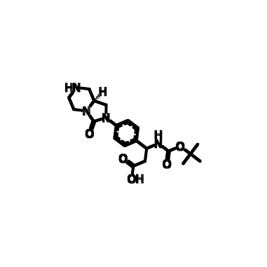 CC(C)(C)OC(=O)NC(CC(=O)O)c1ccc(N2C[C@@H]3CNCCN3C2=O)cc1